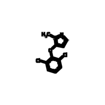 Cn1n[c]cc1Oc1c(Cl)cccc1Cl